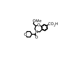 COCC1CN(C(=O)C2CCOCC2)Cc2ccc(C(=O)O)cc2O1